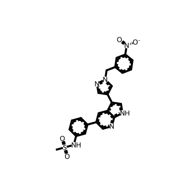 CS(=O)(=O)Nc1cccc(-c2cnc3[nH]cc(-c4cnn(Cc5cccc([N+](=O)[O-])c5)c4)c3c2)c1